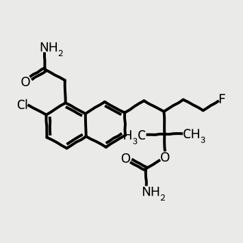 CC(C)(OC(N)=O)C(CCF)Cc1ccc2ccc(Cl)c(CC(N)=O)c2c1